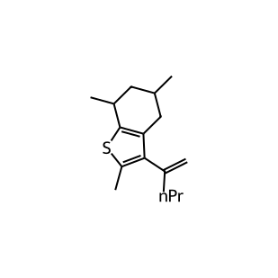 C=C(CCC)c1c(C)sc2c1CC(C)CC2C